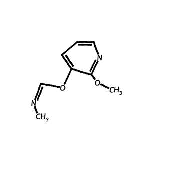 C/N=C\Oc1cccnc1OC